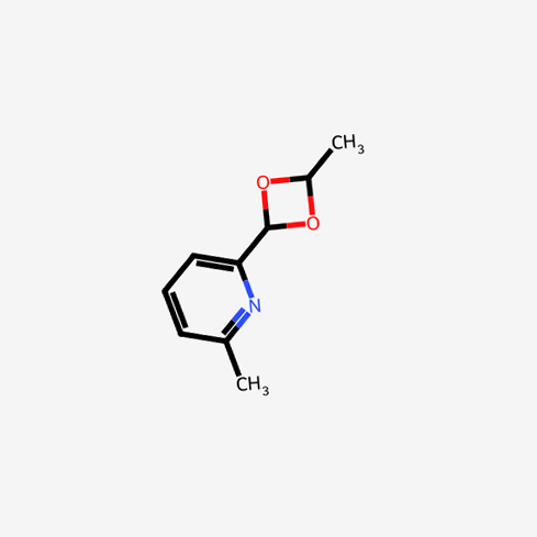 Cc1cccc(C2OC(C)O2)n1